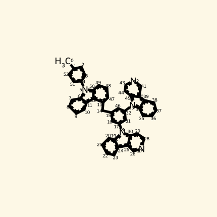 Cc1ccc(-n2c3ccccc3c3c(Cc4cc(-n5c6ccccc6c6cnccc65)cc(-n5c6ccccc6c6cnccc65)c4)cccc32)cc1